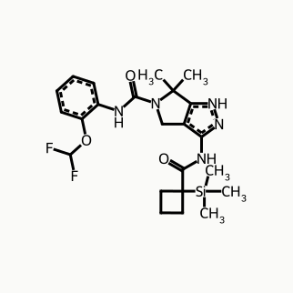 CC1(C)c2[nH]nc(NC(=O)C3([Si](C)(C)C)CCC3)c2CN1C(=O)Nc1ccccc1OC(F)F